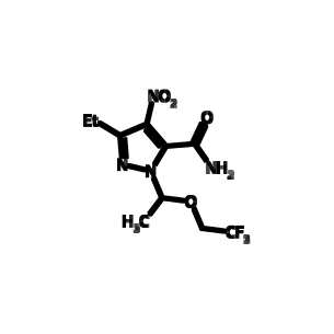 CCc1nn(C(C)OCC(F)(F)F)c(C(N)=O)c1[N+](=O)[O-]